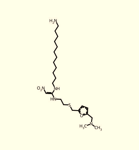 CN(C)Cc1ccc(CSCCN/C(=C/[N+](=O)[O-])NCCCCCCCCCCCCN)o1